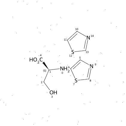 N[C@@H](CO)C(=O)O.c1cscn1.c1cscn1